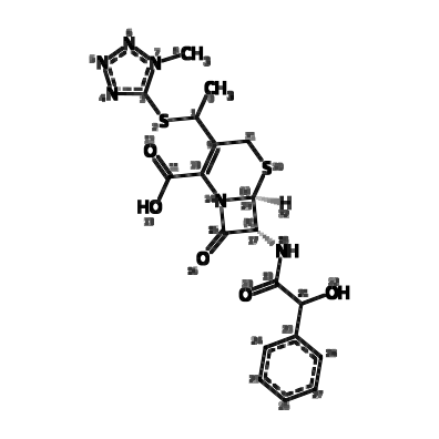 CC(Sc1nnnn1C)C1=C(C(=O)O)N2C(=O)[C@@H](NC(=O)C(O)c3ccccc3)[C@@H]2SC1